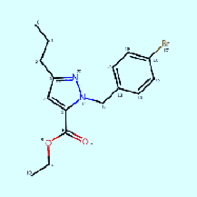 CCCc1cc(C(=O)OCC)n(Cc2ccc(Br)cc2)n1